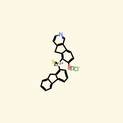 [Cl-].[Cl-].[S]=[Zr+2]([c]1cccc2c1Cc1ccccc1-2)[c]1c(Br)ccc2c1Cc1ccncc1-2